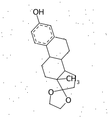 CC12CCC3c4ccc(O)cc4CCC3C1CCC21OCCO1